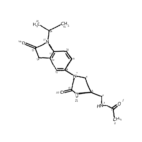 CC(=O)NCC1CN(c2ccc3c(c2)CC(=O)N3C(C)C)C(=O)O1